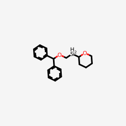 c1ccc(C(OC[SiH2]C2CCCCO2)c2ccccc2)cc1